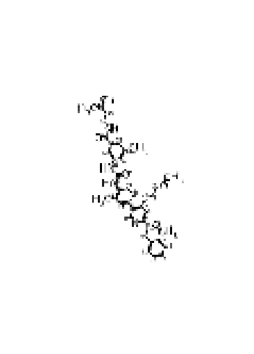 COCCOc1cc(B(Cc2ccccc2)OC)ncc1-c1ncc(NC(=O)Nc2cc(C)cc(C(=O)NCCN(C)C)c2)c(C)n1